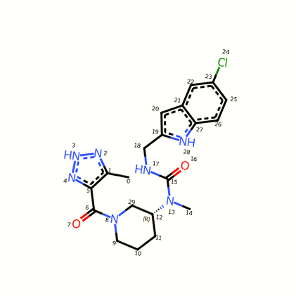 Cc1n[nH]nc1C(=O)N1CCC[C@@H](N(C)C(=O)NCc2cc3cc(Cl)ccc3[nH]2)C1